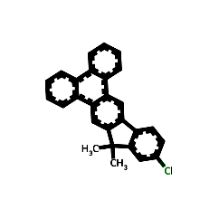 CC1(C)c2cc(Cl)ccc2-c2cc3c4ccccc4c4ccccc4c3cc21